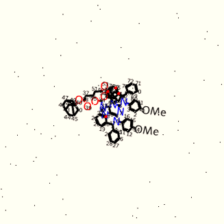 COc1ccc(N(c2nc(N(c3ccc(OC)cc3)C(c3ccccc3)c3ccccc3)c3ncn(COC(CC(=O)OC45CC6CC(CC(C6)C4)C5)CC(=O)OC45CC6CC(CC(C6)C4)C5)c3n2)C(c2ccccc2)c2ccccc2)cc1